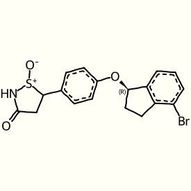 O=C1CC(c2ccc(O[C@@H]3CCc4c(Br)cccc43)cc2)[S+]([O-])N1